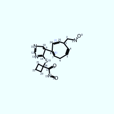 O=NCC1C#CC/C=C(c2cncnc2SC2(C(=O)N=O)CCC2)\C=C/1